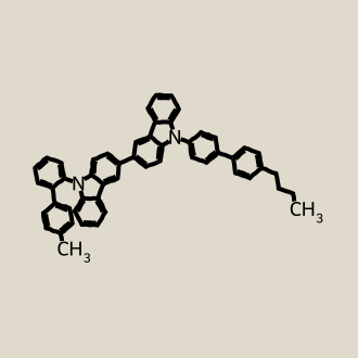 CCCCc1ccc(-c2ccc(-n3c4ccccc4c4cc(-c5ccc6c(c5)c5ccccc5n6-c5ccccc5-c5ccc(C)cc5)ccc43)cc2)cc1